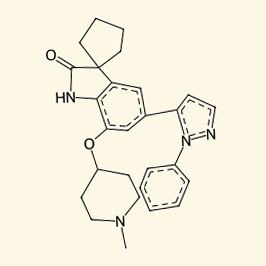 CN1CCC(Oc2cc(-c3ccnn3-c3ccccc3)cc3c2NC(=O)C32CCCC2)CC1